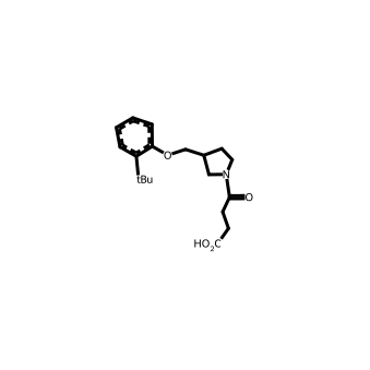 CC(C)(C)c1ccccc1OCC1CCN(C(=O)CCC(=O)O)C1